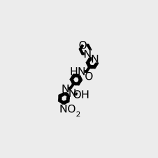 O=C(Nc1ccc(-c2nc3ccc([N+](=O)[O-])cc3n2O)cc1)c1ccnc(N2CCOCC2)c1